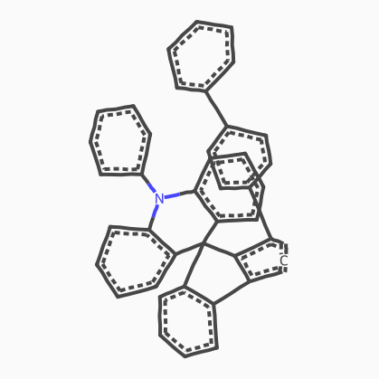 c1ccc(-c2ccc(-c3cccc4c3C3(c5ccccc5-4)c4ccccc4N(c4ccccc4)c4ccccc43)cc2)cc1